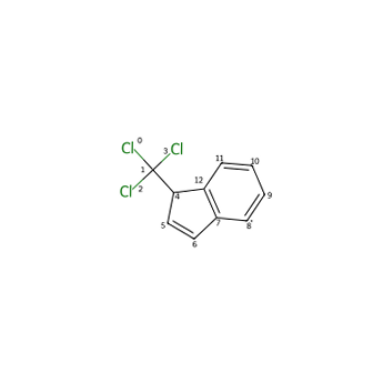 ClC(Cl)(Cl)C1C=Cc2[c]cccc21